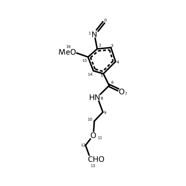 C=Nc1ccc(C(=O)NCCOCC=O)cc1OC